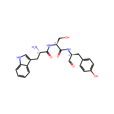 N[C@@H](Cc1c[nH]c2ccccc12)C(=O)N[C@@H](CO)C(=O)N[C@H]([C]=O)Cc1ccc(O)cc1